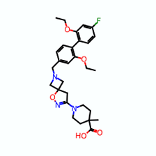 CCOc1cc(F)ccc1-c1ccc(CN2CC3(CC(N4CCC(C)(C(=O)O)CC4)=NO3)C2)cc1OCC